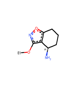 CCOc1noc2c1[C@H](N)CCC2